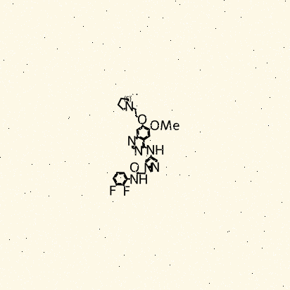 [CH2][C@H]1CCCN1CCOc1cc2ncnc(Nc3cnn(CC(=O)Nc4cccc(F)c4F)c3)c2cc1OC